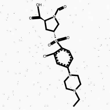 CCN1CCN(c2ccc(S(=O)(=O)[C@@H]3C[C@@H](C(=O)O)N(C=O)C3)c(Cl)c2)CC1